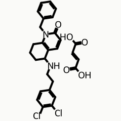 O=C(O)C=CC(=O)O.O=c1ccc2c(n1Cc1ccccc1)CCCC2NCCc1ccc(Cl)c(Cl)c1